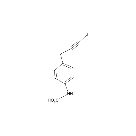 O=C(O)Nc1ccc(CC#CI)cc1